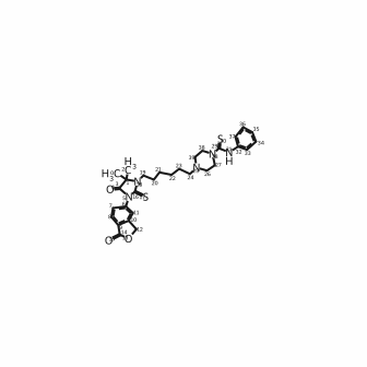 CC1(C)C(=O)N(c2ccc3c(c2)COC3=O)C(=S)N1CCCCCCN1CCN(C(=S)Nc2ccccc2)CC1